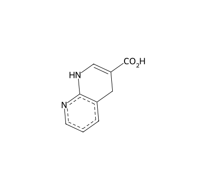 O=C(O)C1=CNc2ncccc2C1